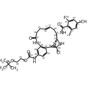 Cc1cc(F)c(C(=O)N[C@H]2C/C=C/CCC(=O)Nc3cc(NC(=O)OCCOC(C)(C)C)ccc3-c3nc2[nH]c3Cl)c(F)c1